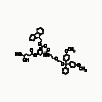 COc1ccc(C(OCCOCCNC(=O)[C@@H]2C[C@@H](OC(=O)CCC(O)O)CN2C(=O)OCC2c3ccccc3-c3ccccc32)(c2ccccc2)c2ccc(OC)cc2)cc1